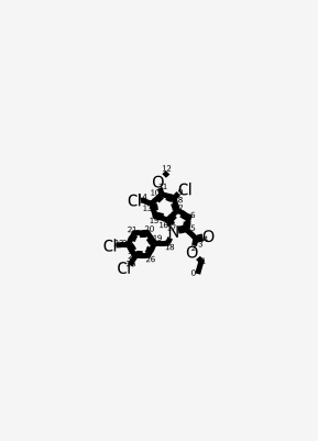 CCOC(=O)c1cc2c(Cl)c(OC)c(Cl)cc2n1Cc1ccc(Cl)c(Cl)c1